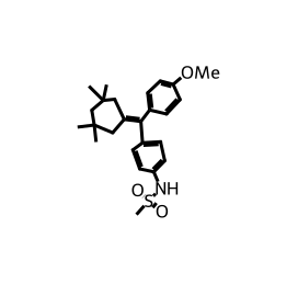 COc1ccc(C(=C2CC(C)(C)CC(C)(C)C2)c2ccc(NS(C)(=O)=O)cc2)cc1